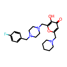 O=c1cc(CN2CCCCC2)oc(CN2CCN(Cc3ccc(F)cc3)CC2)c1O